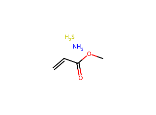 C=CC(=O)OC.N.S